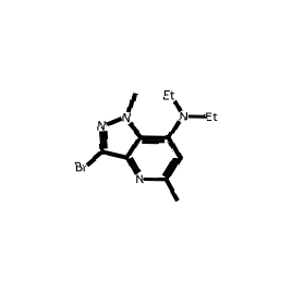 CCN(CC)c1cc(C)nc2c(Br)nn(C)c12